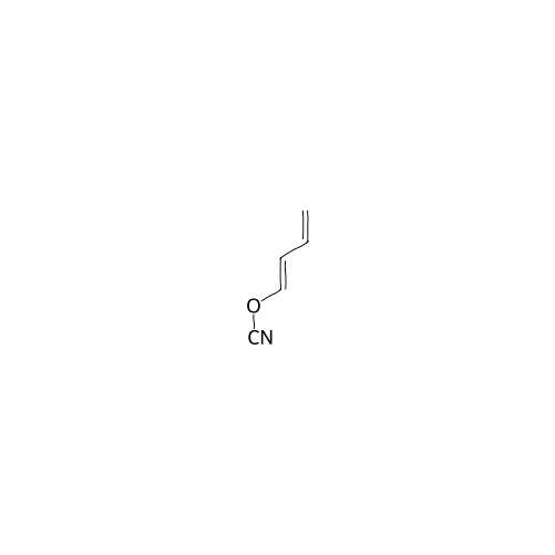 C=CC=COC#N